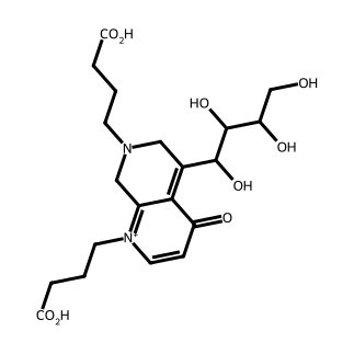 O=C(O)CCCN1CC(C(O)C(O)C(O)CO)=C2C(=O)C=C[N+](CCCC(=O)O)=C2C1